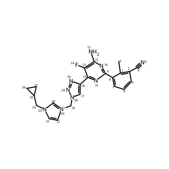 Cc1c(C#N)cccc1-c1nc(N)c(F)c(-c2cn(C[n+]3ccn(CC4CC4)c3)nn2)n1